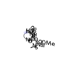 C#Cc1csc(-c2cc(O[C@H]3CC[C@H]4C(=O)N(C)CCCC/C=C\[C@@H]5C[C@@]5(C(=O)NS(=O)(=O)C5CC5)NC(=O)[C@@H]4C3)c3ccc(OC)c(Br)c3n2)n1